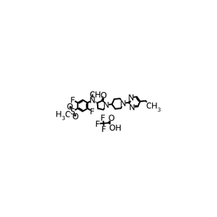 CCc1cnc(N2CCC(N3CC[C@H](N(C)c4cc(F)c(S(C)(=O)=O)cc4F)C3=O)CC2)nc1.O=C(O)C(F)(F)F